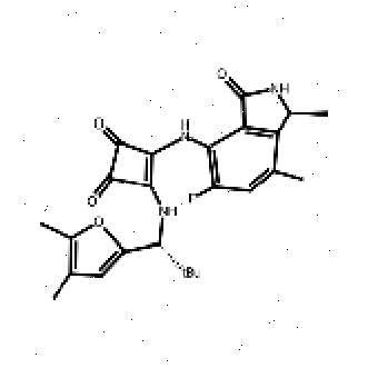 Cc1cc([C@H](Nc2c(Nc3c(F)cc(C)c4c3C(=O)N[C@H]4C)c(=O)c2=O)C(C)(C)C)oc1C